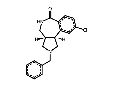 O=C1NC[C@H]2CN(Cc3ccccc3)C[C@@H]2c2cc(Cl)ccc21